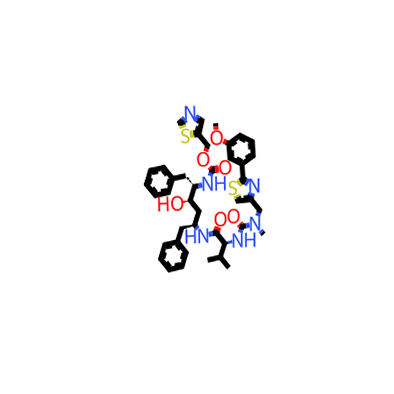 COc1cccc(-c2nc(CN(C)C(=O)N[C@H](C(=O)N[C@@H](Cc3ccccc3)C[C@H](O)[C@H](Cc3ccccc3)NC(=O)OCc3cncs3)C(C)C)cs2)c1